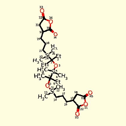 CCC(CC)(O[Si](C)(C)C(C)(CC)O[Si](C)(C)CCCC1CC(=O)OC1=O)[Si](C)(C)CCCC1CC(=O)OC1=O